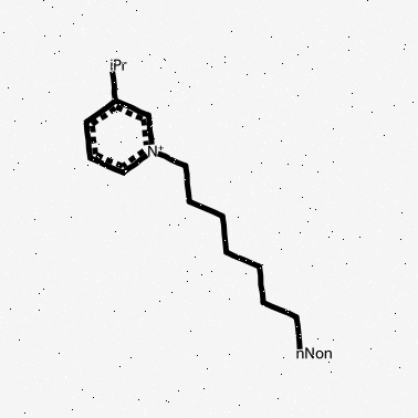 CCCCCCCCCCCCCCCC[n+]1cccc(C(C)C)c1